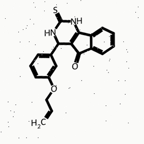 C=CCOc1cccc(C2NC(=S)NC3=C2C(=O)c2ccccc23)c1